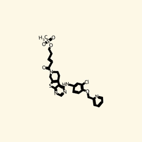 CS(=O)(=O)OCCC=CC(=O)N1CCc2c(sc3ncnc(Nc4ccc(OCc5ccccn5)c(Cl)c4)c23)C1